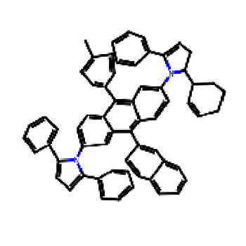 Cc1ccc(-c2c3ccc(-n4c(-c5ccccc5)ccc4-c4ccccc4)cc3c(-c3ccc4ccccc4c3)c3ccc(N4C(c5ccccc5)=CCC4C4C=CCCC4)cc23)cc1